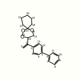 C=C(c1ccc(-c2ccccc2)cc1)C1COC2(CCCCC2)OO1